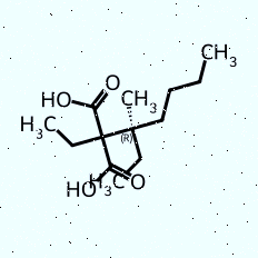 CCCC[C@@](C)(CC)C(CC)(C(=O)O)C(=O)O